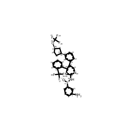 Nc1cccc([S+]([O-])Nc2ncc(-c3cccc([C@H]4CC[C@@H](OC(F)(F)F)C4)c3)c(-c3ccccc3C(F)(F)F)n2)c1